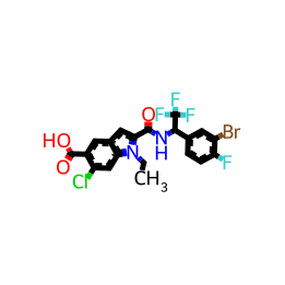 CCn1c(C(=O)NC(c2ccc(F)c(Br)c2)C(F)(F)F)cc2cc(C(=O)O)c(Cl)cc21